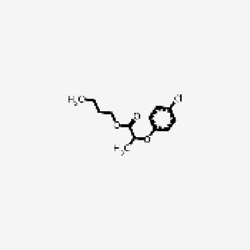 CCCCOC(=O)C(C)Oc1ccc(Cl)cc1